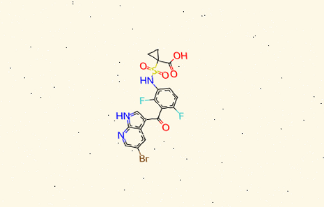 O=C(c1c(F)ccc(NS(=O)(=O)C2(C(=O)O)CC2)c1F)c1c[nH]c2ncc(Br)cc12